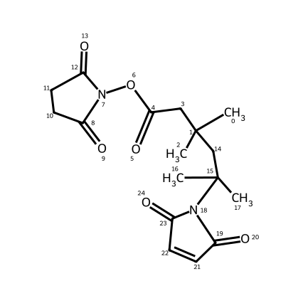 CC(C)(CC(=O)ON1C(=O)CCC1=O)CC(C)(C)N1C(=O)C=CC1=O